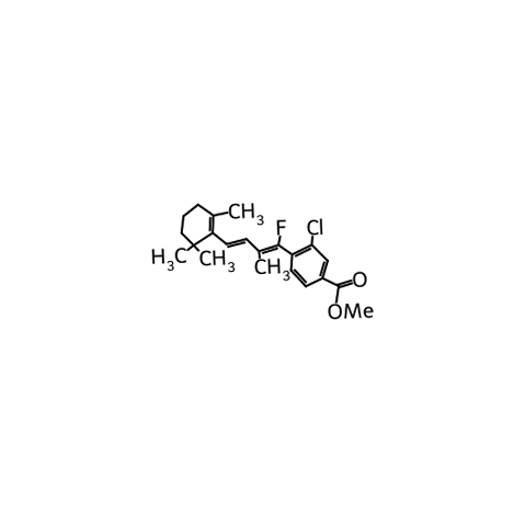 COC(=O)c1ccc(/C(F)=C(C)/C=C/C2=C(C)CCCC2(C)C)c(Cl)c1